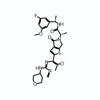 C=N/C(=N\C(=C(/C)Cl)c1cc2c(s1)CN([C@H](C)C(=O)N[C@H](C)c1cc(F)cc(OC)c1)C2=O)NC1CCOCC1